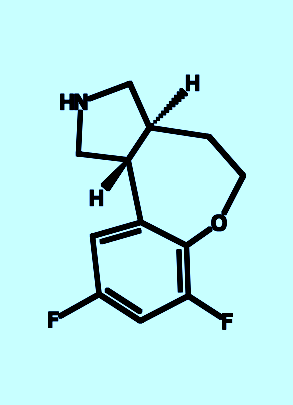 Fc1cc(F)c2c(c1)[C@@H]1CNC[C@H]1CCO2